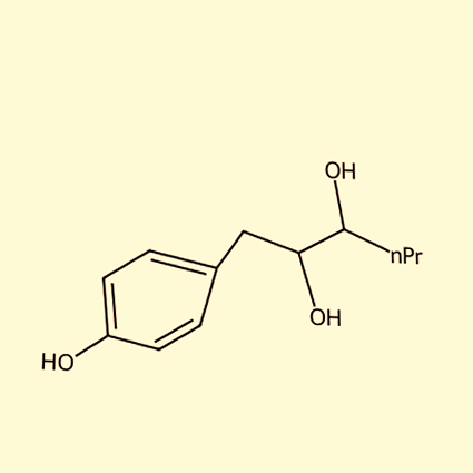 CCCC(O)C(O)Cc1ccc(O)cc1